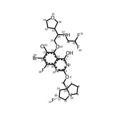 Oc1nc(OC[C@@]23CCCN2C[C@H](F)C3)nc2c(F)c(Br)c(Cl)c(OCC(NCC(F)F)C3CCOC3)c12